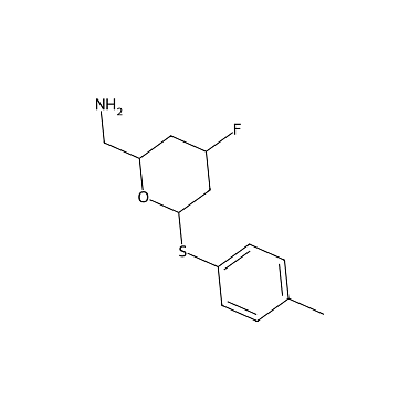 Cc1ccc(SC2CC(F)CC(CN)O2)cc1